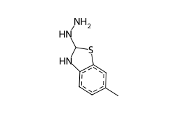 Cc1ccc2c(c1)SC(NN)N2